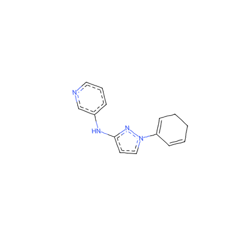 C1=CC(n2ccc(Nc3cccnc3)n2)=CCC1